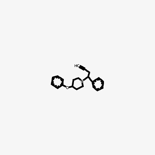 C#CCC(c1ccccc1)N1CCC(Oc2ccccc2)CC1